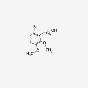 COc1ccc(Br)c(/C=N/O)c1OC